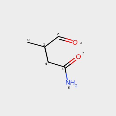 CC(C=O)CC(N)=O